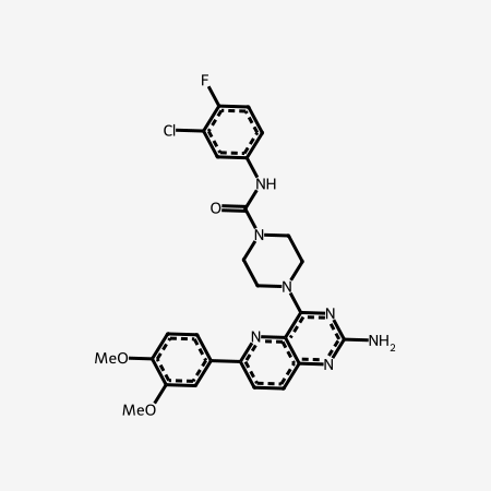 COc1ccc(-c2ccc3nc(N)nc(N4CCN(C(=O)Nc5ccc(F)c(Cl)c5)CC4)c3n2)cc1OC